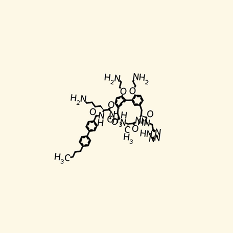 CCCCc1ccc(-c2ccc(C(=O)N[C@@H](CCCCN)C(=O)N(C)[C@@H]3C(=O)N[C@@H](C)C(=O)N[C@H](C(=O)NCc4nnn[nH]4)Cc4ccc(OCCN)c(c4)-c4cc3ccc4OCCN)cc2)cc1